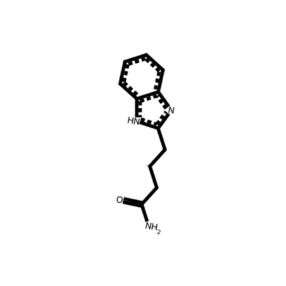 NC(=O)C[CH]Cc1nc2ccccc2[nH]1